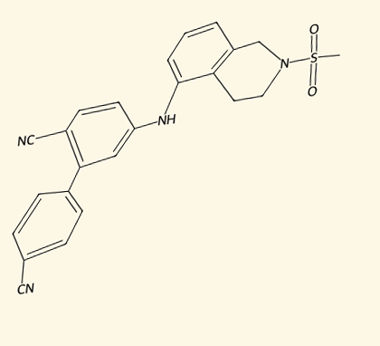 CS(=O)(=O)N1CCc2c(cccc2Nc2ccc(C#N)c(-c3ccc(C#N)cc3)c2)C1